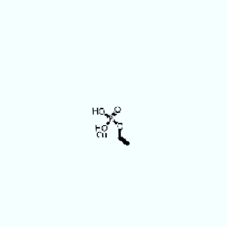 C=COP(=O)(O)O.[Cu]